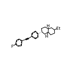 CCC1CC[C@@H]2C[C@H](c3ccc(C#Cc4ccc(F)cc4)cc3)CC[C@@H]2C1